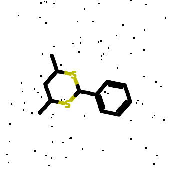 CC1CC(C)SC(c2ccccc2)S1